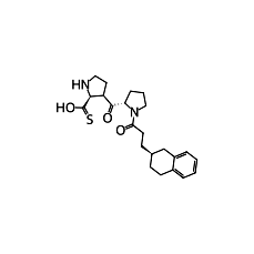 O=C(C1CCN[C@@H]1C(O)=S)[C@@H]1CCCN1C(=O)CC[C@@H]1CCc2ccccc2C1